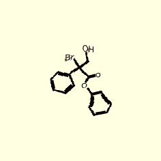 O=C(Oc1ccccc1)C(Br)(CO)c1ccccc1